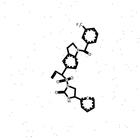 C=CC(c1ccc2c(c1)CCN2C(=O)c1cccc(C(F)(F)F)c1)S(=O)(=O)N1CC(c2ccccc2)NC1=O